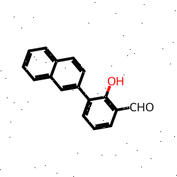 O=Cc1cccc(-c2ccc3ccccc3c2)c1O